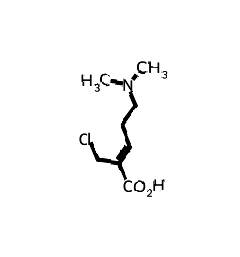 CN(C)CCC=C(CCl)C(=O)O